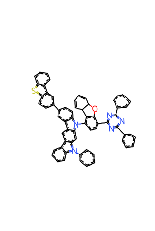 C1=CC2Oc3c(-c4nc(-c5ccccc5)nc(-c5ccccc5)n4)ccc(-n4c5ccc(-c6ccc7sc8ccccc8c7c6)cc5c5cc6c7ccccc7n(-c7ccccc7)c6cc54)c3C2C=C1